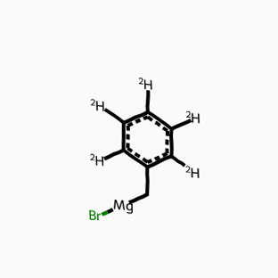 [2H]c1c([2H])c([2H])c([CH2][Mg][Br])c([2H])c1[2H]